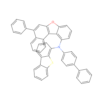 c1ccc(-c2ccc(N(c3cccc4c3sc3ccccc34)c3cccc4oc5cc(-c6ccccc6)c6ccccc6c5c34)cc2)cc1